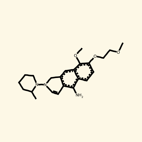 COCCOc1ccc2c(N)c3c(cc2c1OC)CN(N1CCCCC1C)C=C3